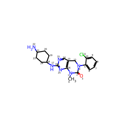 CN1C(=O)N(c2ccccc2Cl)Cc2cnc(NC3CCC(N)CC3)nc21